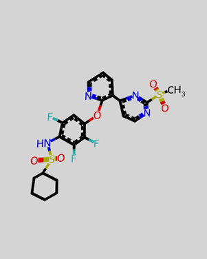 CS(=O)(=O)c1nccc(-c2cccnc2Oc2cc(F)c(NS(=O)(=O)C3CCCCC3)c(F)c2F)n1